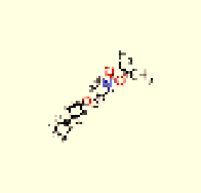 CC(C)OC(=O)N1CCC(COc2ccc(C3=CCCCC3)cc2)CC1